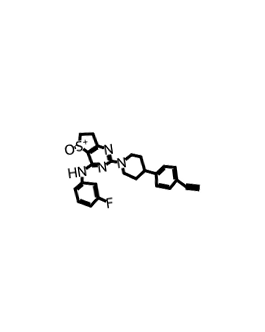 C#Cc1ccc(C2CCN(c3nc4c(c(Nc5cccc(F)c5)n3)[S+]([O-])CC4)CC2)cc1